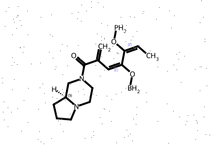 BOC(=C/C(=C)C(=O)N1CCN2CCC[C@H]2C1)/C(=C\C)OP